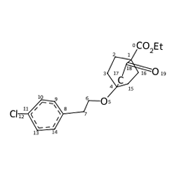 CCOC(=O)C12CCC(OCCc3ccc(Cl)cc3)(CC1)CC2=O